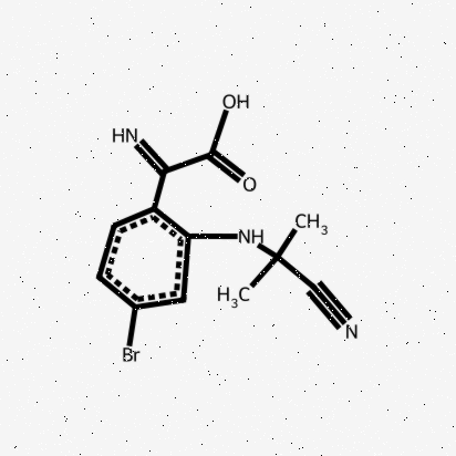 CC(C)(C#N)Nc1cc(Br)ccc1C(=N)C(=O)O